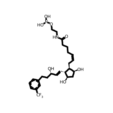 O=C(CCC/C=C\C[C@@H]1[C@@H](/C=C/[C@@H](O)CCc2cccc(C(F)(F)F)c2)[C@H](O)C[C@@H]1O)NCCON(O)O